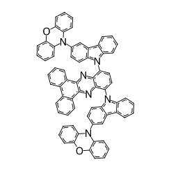 c1ccc2c(c1)Oc1ccccc1N2c1ccc2c(c1)c1ccccc1n2-c1ccc(-n2c3ccccc3c3cc(N4c5ccccc5Oc5ccccc54)ccc32)c2nc3c4ccccc4c4ccccc4c3nc12